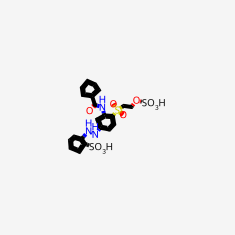 O=C(Nc1cc(NNc2ccccc2S(=O)(=O)O)ccc1S(=O)(=O)CCOS(=O)(=O)O)c1ccccc1